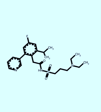 CCN(CC)CCCS(=O)(=O)NC(=O)Cc1c(-c2cccnc2)cc(F)cc1C(C)C